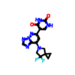 O=c1[nH]cc(-c2cc(N3CC(F)(F)C4(CC4)C3)c3ncnn3n2)c(=O)[nH]1